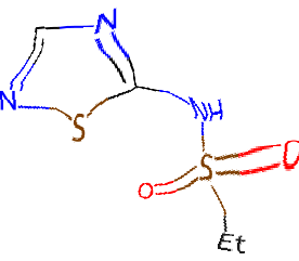 CCS(=O)(=O)Nc1ncns1